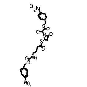 O=C(NCCCC(=O)S[C@H]1CC(=O)N1C(Cl)C(=O)OCc1ccc([N+](=O)[O-])cc1)OCc1ccc([N+](=O)[O-])cc1